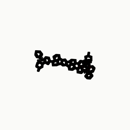 CC1CCC2(C)C(C1)c1cc(-c3ccc4c5cc6c(cc5c5cccc3c54)c3ccc(-c4ccc5c(c4)C4CC(C)CCC4(C)N5c4ccccc4)c4c(-c5ccc7c(c5)C5CC(C)CCC5(C)N7c5ccccc5)ccc6c43)ccc1N2c1ccccc1